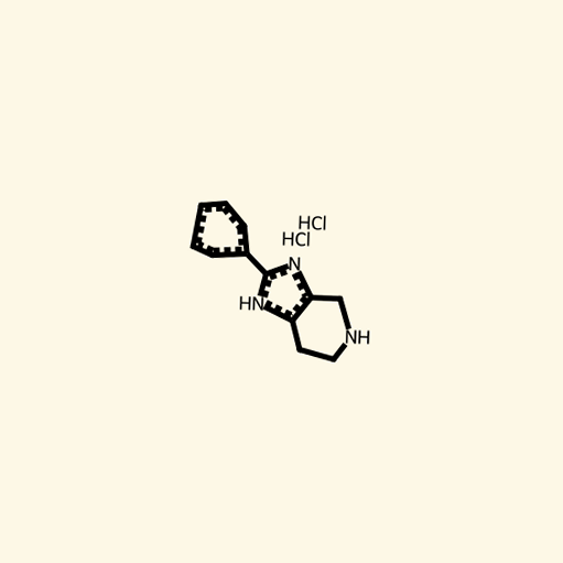 Cl.Cl.c1ccc(-c2nc3c([nH]2)CCNC3)cc1